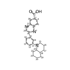 O=C(O)c1ccc2nc(-c3cccc(N4CCCC5CCCCC54)c3)cnc2c1